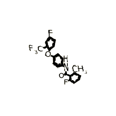 Cc1cccc(F)c1C(=O)Nc1ccc(Oc2ccc(F)cc2C(F)(F)F)cc1